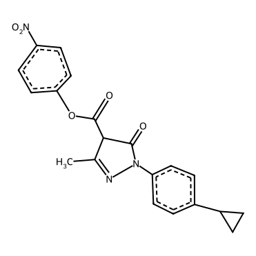 CC1=NN(c2ccc(C3CC3)cc2)C(=O)C1C(=O)Oc1ccc([N+](=O)[O-])cc1